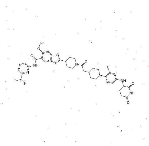 CC(C)Oc1cc2nc(C3CCN(C(=O)CC4CCN(c5ncc(NC6CCC(=O)NC6=O)cc5F)CC4)CC3)cn2cc1C(=O)Nc1cccc(C(F)F)n1